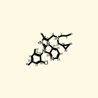 CCCN(Cc1c(C)nc2n(-c3c(C)cc(C)cc3Cl)c3ncccc3n12)CC1CC1